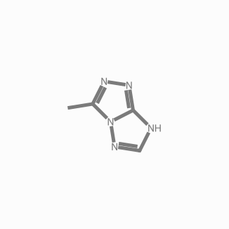 Cc1nnc2[nH]cnn12